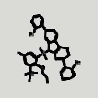 C=CCOc1c([Si](C)(C)C)cc(C)cc1[Si](C)(C)C1c2cc(-c3ccccc3CC)ccc2-c2ccc(-c3ccccc3CC)cc21